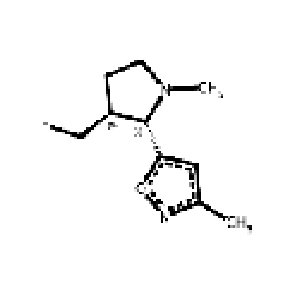 Cc1cc([C@@H]2[C@@H](CF)CCN2C)on1